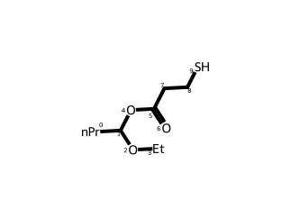 CCCC(OCC)OC(=O)CCS